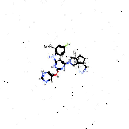 CNc1cc(F)cc2c1[nH]c1nc(Oc3cncnc3)nc(N3C[C@H]4CCC(CN)[C@H]4C3)c12